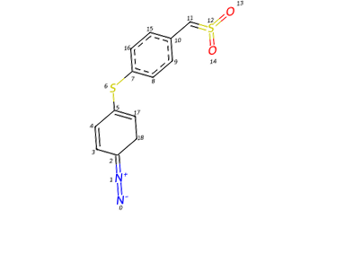 [N-]=[N+]=C1C=CC(Sc2ccc(C=S(=O)=O)cc2)=CC1